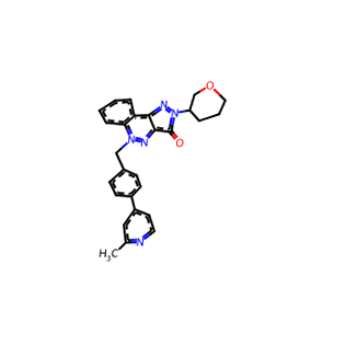 Cc1cc(-c2ccc(Cn3nc4c(=O)n(C5CCCOC5)nc-4c4ccccc43)cc2)ccn1